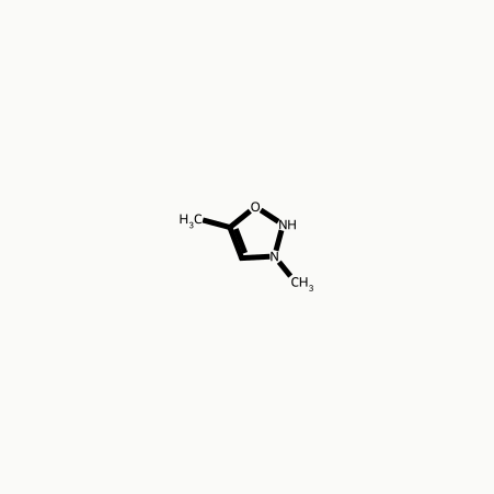 CC1=CN(C)NO1